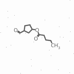 CCCCC(=O)OC1CCC([C]=O)C1